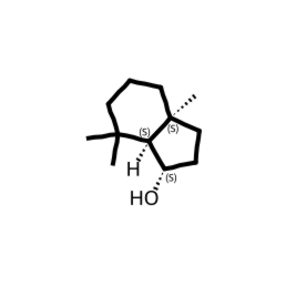 CC1(C)CCC[C@@]2(C)CC[C@H](O)[C@@H]12